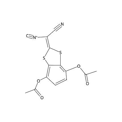 [C-]#[N+]C(C#N)=C1Sc2c(OC(C)=O)ccc(OC(C)=O)c2S1